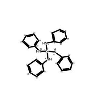 c1ccc(N[Si](Nc2ccccc2)(Nc2ccccc2)Nc2ccccc2)cc1